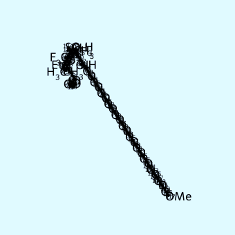 CCC1=CC(C)(C)N(CCCCCC(=O)ON2C(=O)CCC2=O)c2cc3c(cc21)C(C(F)(F)F)=c1cc2c(cc1O3)=[N+](CCCCCC(=O)NCCOCCOCCOCCOCCOCCOCCOCCOCCOCCOCCOCCOCCOCCOCCOCCOCCOCCOCCOCCOCCOCCOCCOCCOC)C(C)(C)C=C2CS(=O)(=O)O